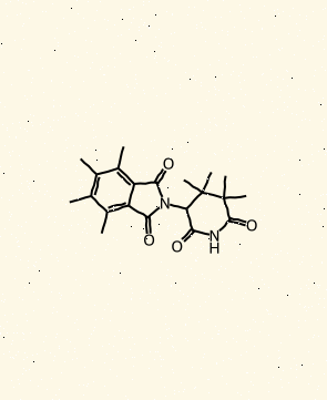 Cc1c(C)c(C)c2c(c1C)C(=O)N(C1C(=O)NC(=O)C(C)(C)C1(C)C)C2=O